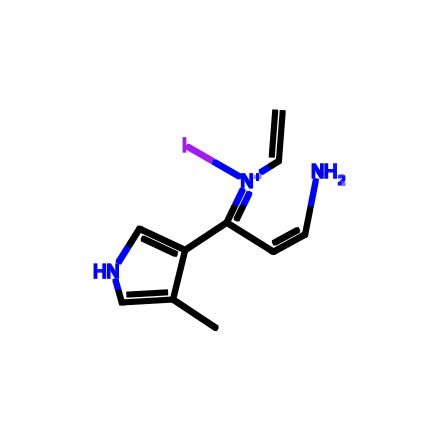 C=C/[N+](I)=C(\C=C/N)c1c[nH]cc1C